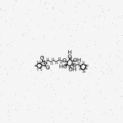 O=C1c2ccccc2C(=O)N1CCCCCCOC1C(O)C(O)C(OCc2ccccc2)C(O)C1O